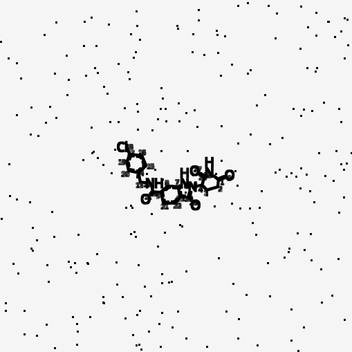 O=C1CCC(n2[nH]c3cc(C(=O)NCc4ccc(Cl)cc4)ccc3c2=O)C(=O)N1